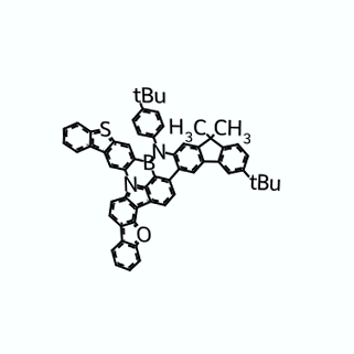 CC(C)(C)c1ccc(N2B3c4cc5sc6ccccc6c5cc4-n4c5ccc6c7ccccc7oc6c5c5ccc(c3c54)-c3cc4c(cc32)C(C)(C)c2ccc(C(C)(C)C)cc2-4)cc1